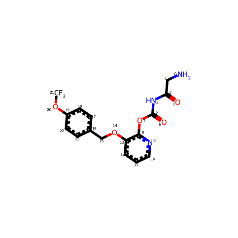 NCC(=O)NC(=O)Oc1ncccc1OCc1ccc(OC(F)(F)F)cc1